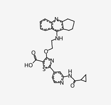 O=C(O)c1sc(-c2ccnc(NC(=O)C3CC3)c2)nc1OCCNc1c2c(nc3ccccc13)CCCC2